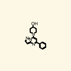 OC1CCN(c2cc(-c3ccccc3)nc3ccnn23)CC1